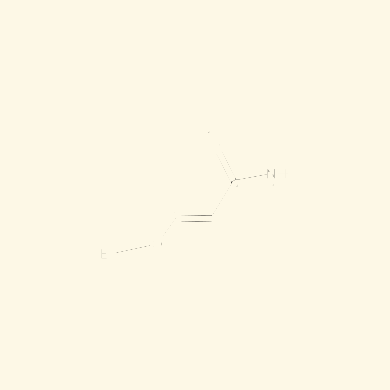 CCO/C=C/C([NH])=O